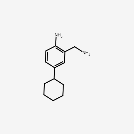 NCc1cc(C2CCCCC2)ccc1N